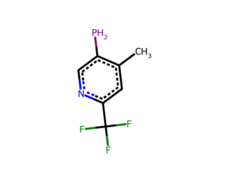 Cc1cc(C(F)(F)F)ncc1P